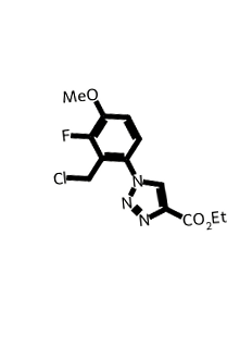 CCOC(=O)c1cn(-c2ccc(OC)c(F)c2CCl)nn1